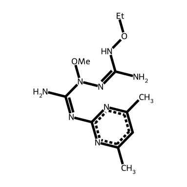 CCONC(N)=NN(OC)C(N)=Nc1nc(C)cc(C)n1